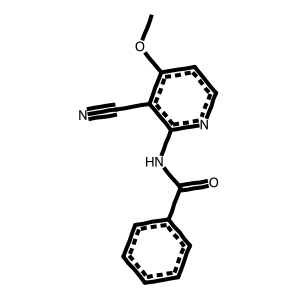 COc1ccnc(NC(=O)c2ccccc2)c1C#N